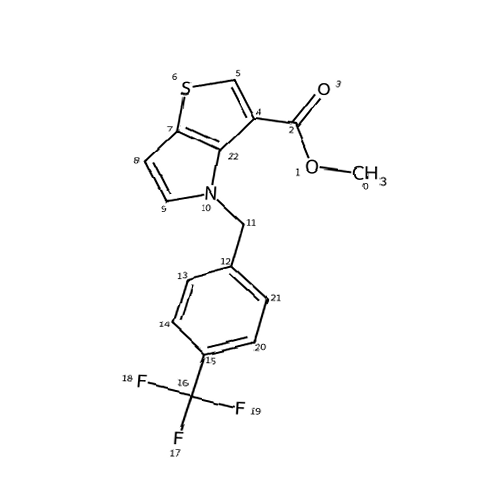 COC(=O)c1csc2ccn(Cc3ccc(C(F)(F)F)cc3)c12